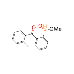 CO[PH](=O)c1ccccc1C(=O)c1ccccc1C